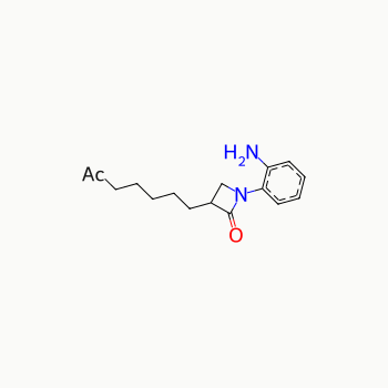 CC(=O)CCCCCC1CN(c2ccccc2N)C1=O